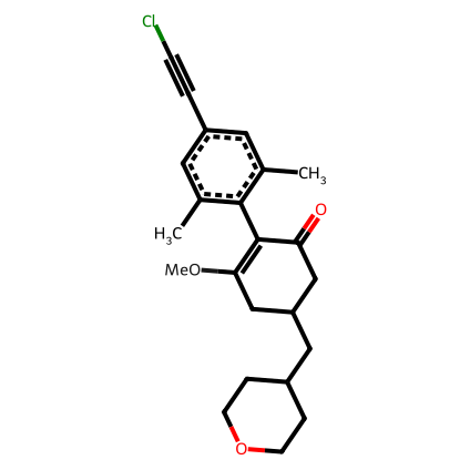 COC1=C(c2c(C)cc(C#CCl)cc2C)C(=O)CC(CC2CCOCC2)C1